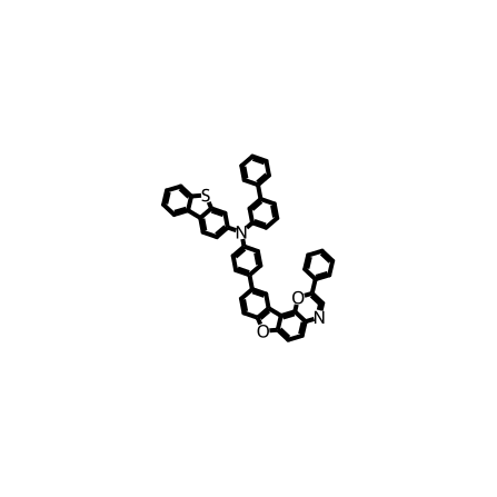 C1=Nc2ccc3oc4ccc(-c5ccc(N(c6cccc(-c7ccccc7)c6)c6ccc7c(c6)sc6ccccc67)cc5)cc4c3c2OC=1c1ccccc1